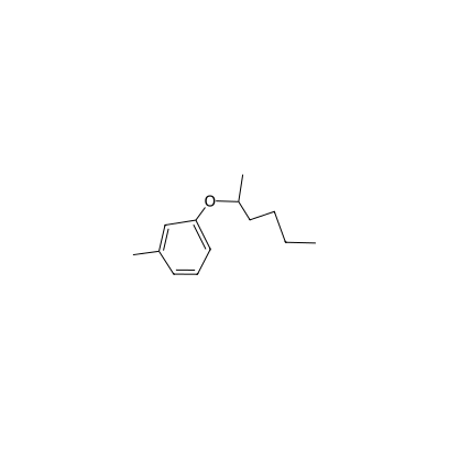 CCCCC(C)Oc1cccc(C)c1